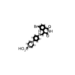 O=C1NC(=O)c2ccc(Br)cc2C1=CNc1ccc(N2CCN(C(=O)O)CC2)cc1